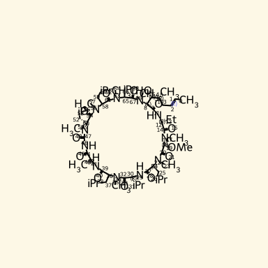 C/C=C/C[C@@H](C)[C@@H](O)[C@H]1C(=O)N[C@H](CC)C(=O)N(C)[C@H](OC)C(=O)N(C)[C@@H](CC(C)C)C(=O)N[C@H](C(C)C)C(=O)N(C)C(CC(C)C)C(=O)N[C@H](C)C(=O)NC(=O)N(C)[C@H](CC(C)C)C(=O)N(C)C(CC(C)C)C(=O)N(C)C(C(C)C)C(=O)N1C